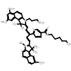 CCCC[N+]1=C(/C=C/C(=C/C=C2/N(CCCS(=O)(=O)O)c3ccc4c(S(=O)(=O)O)cc(S(=O)(=O)O)cc4c3C2(C)C)c2ccc(C(=O)NCCCCCC(=O)O)cn2)C(C)(C)c2c1ccc1ccc(S(=O)(=O)O)cc21